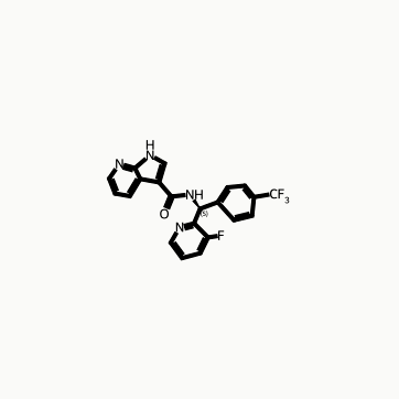 O=C(N[C@@H](c1ccc(C(F)(F)F)cc1)c1ncccc1F)c1c[nH]c2ncccc12